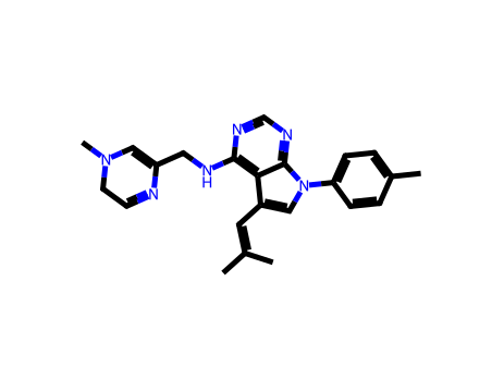 CC(C)=Cc1cn(-c2ccc(C)cc2)c2ncnc(NCC3=CN(C)CC=N3)c12